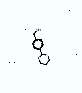 SCc1ccc(C2SCCCS2)cc1